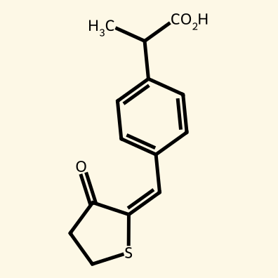 CC(C(=O)O)c1ccc(C=C2SCCC2=O)cc1